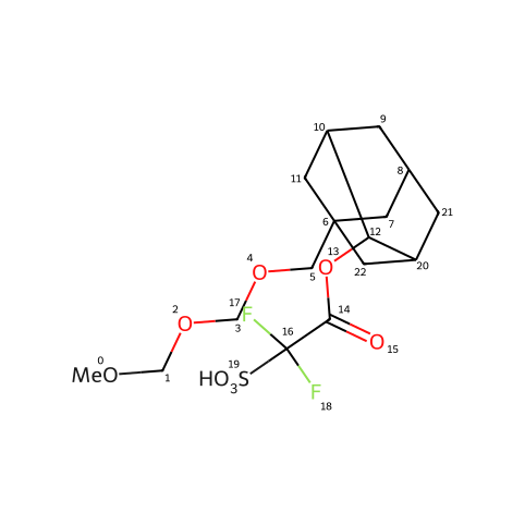 COCOCOCC12CC3CC(C1)C(OC(=O)C(F)(F)S(=O)(=O)O)C(C3)C2